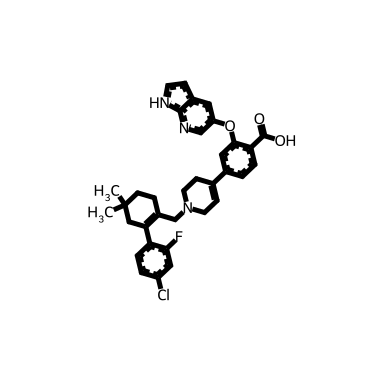 CC1(C)CCC(CN2CC=C(c3ccc(C(=O)O)c(Oc4cnc5[nH]ccc5c4)c3)CC2)=C(c2ccc(Cl)cc2F)C1